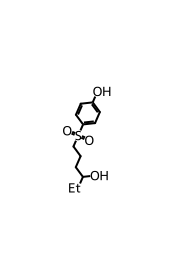 CCC(O)CCCS(=O)(=O)c1ccc(O)cc1